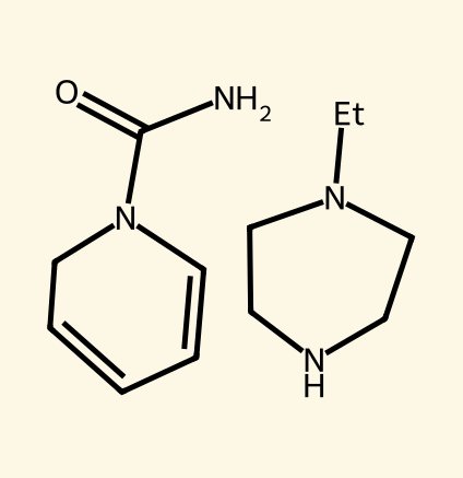 CCN1CCNCC1.NC(=O)N1C=CC=CC1